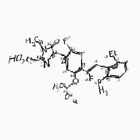 CCc1cccc(P)c1/C=C(\F)c1cc(F)c(-n2nc(C(=O)O)n(C)c2=O)cc1O[C@@H](C)C(F)(F)F